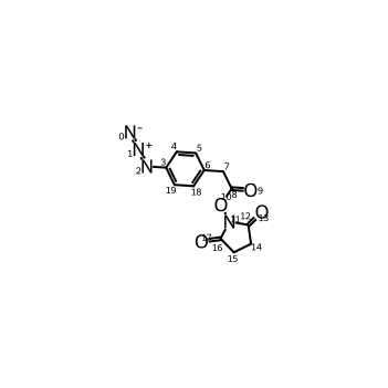 [N-]=[N+]=Nc1ccc(CC(=O)ON2C(=O)CCC2=O)cc1